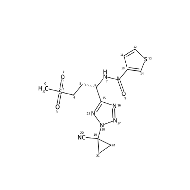 CS(=O)(=O)CC[C@H](NC(=O)c1ccsc1)c1nnn(C2(C#N)CC2)n1